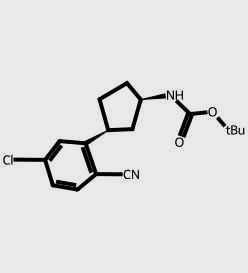 CC(C)(C)OC(=O)N[C@@H]1CC[C@H](c2cc(Cl)ccc2C#N)C1